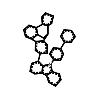 c1ccc(-c2ccc(-n3c4ccccc4c4cccc(-c5ccc6c(c5)-c5cccc7c5CC6c5ccccc5-7)c43)cc2)cc1